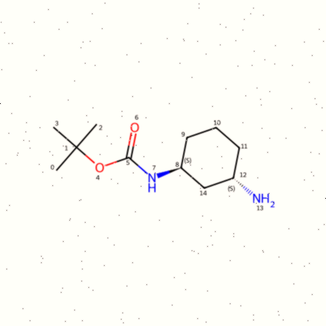 CC(C)(C)OC(=O)N[C@H]1CCC[C@H](N)C1